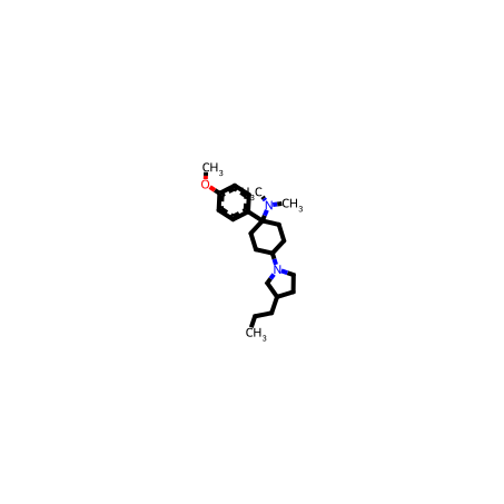 CCCC1CCN(C2CCC(c3ccc(OC)cc3)(N(C)C)CC2)C1